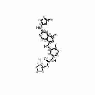 Cc1ncc(NC(=O)CN2CCC[C@@H]2C)cc1Nc1nn(C)c2nc(Nc3cnn(C)c3)ncc12